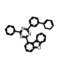 C1=CCCC(c2cccc(-c3nc(-c4ccccc4)nc(-c4cccc5oc6ccccc6c45)n3)c2)=C1